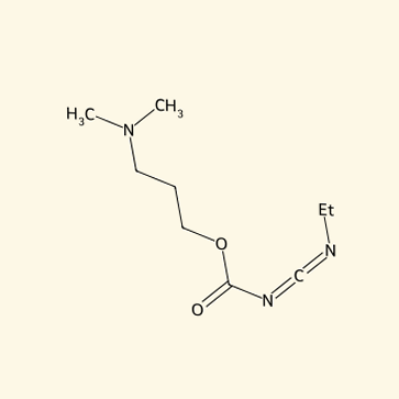 CCN=C=NC(=O)OCCCN(C)C